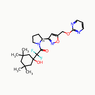 CC1(C)CC(C)(C)CC(O)(C(F)(F)C(=O)N2CCC[C@H]2c2cc(COc3ncccn3)on2)C1